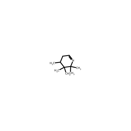 CC1CC=NC(C)(C)C1(C)C